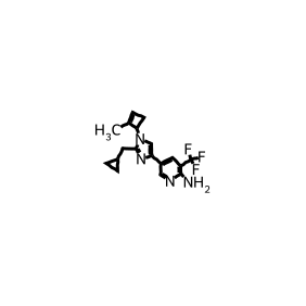 CC1=CCC1n1cc(-c2cnc(N)c(C(F)(F)F)c2)nc1CC1CC1